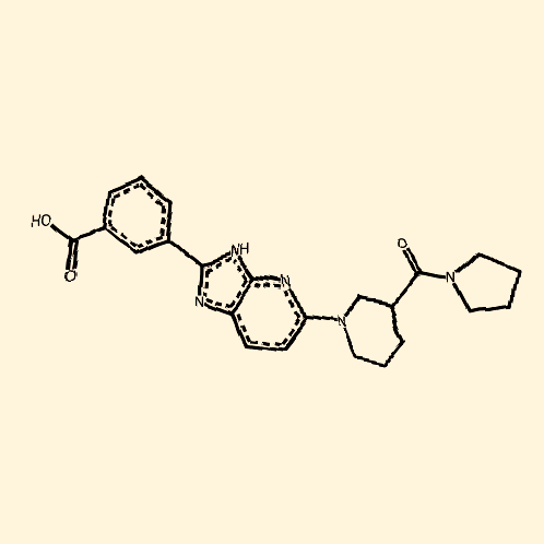 O=C(O)c1cccc(-c2nc3ccc(N4CCCC(C(=O)N5CCCC5)C4)nc3[nH]2)c1